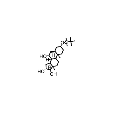 CC(C)(C)[Si](C)(C)O[C@H]1CC[C@@]2(C)C(=C[C@H](O)[C@H]3[C@@H]4C[C@@H](O)[C@H](O)[C@@]4(C)CC[C@@H]32)C1